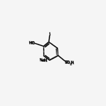 O=S(=O)(O)c1ccc(O)c(I)c1.[NaH]